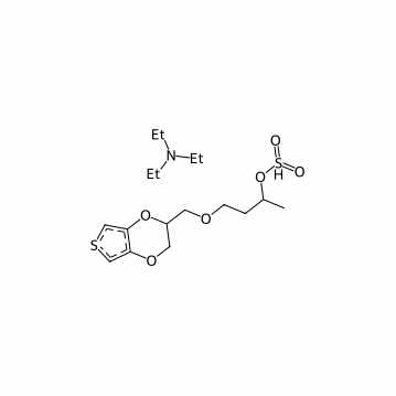 CC(CCOCC1COc2cscc2O1)O[SH](=O)=O.CCN(CC)CC